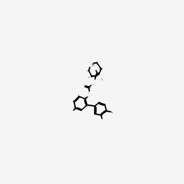 O=C(Nc1ccc(F)cc1-c1ccc(Cl)c(Cl)c1)O[C@H]1C[N@]2CC[C@H]1CC2